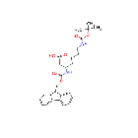 CC(C)(C)OC(=O)NCCCCC(CC(=O)O)NC(=O)OCC1c2ccccc2-c2ccccc21